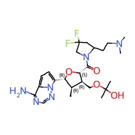 C[C@@H]1[C@H](COC(C)(C)O)[C@@H](C(=O)N2CC(F)(F)CC2CCN(C)C)O[C@H]1c1ccc2c(N)ncnn12